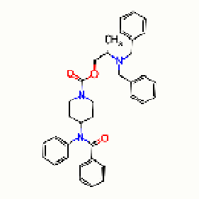 C[C@@H](COC(=O)N1CCC(N(C(=O)c2ccccc2)c2ccccc2)CC1)N(Cc1ccccc1)Cc1ccccc1